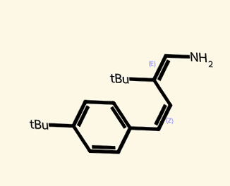 CC(C)(C)C(/C=C\c1ccc(C(C)(C)C)cc1)=C/N